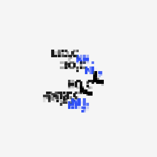 C=C(C)C(=O)O.C=C(C)C(=O)O.CCOC(N)=O.CCOC(N)=O.CCOC(N)=O.CCOC(N)=O